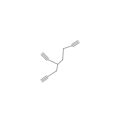 [C]#CCCC(C#C)CC#C